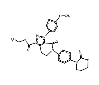 CCOC(=O)c1nn(-c2ccc(OC)cc2)c2c1CCN(c1ccc(N3CCCOC3=O)cc1)C2=O